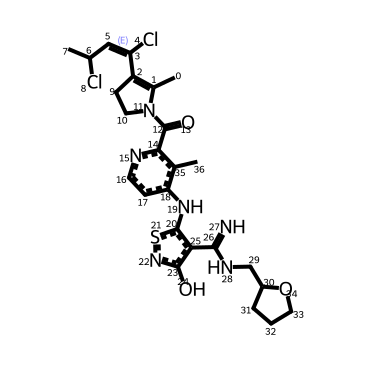 CC1=C(/C(Cl)=C\C(C)Cl)CCN1C(=O)c1nccc(Nc2snc(O)c2C(=N)NCC2CCCO2)c1C